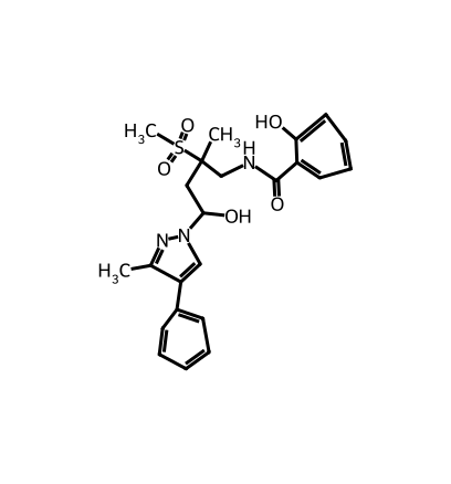 Cc1nn(C(O)CC(C)(CNC(=O)c2ccccc2O)S(C)(=O)=O)cc1-c1ccccc1